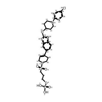 O=P(O)(O)OCCCS(=O)(=O)N1CC=C(c2ccc3nc(OC4CCN(c5ncc(Cl)cn5)CC4)sc3c2)CC1